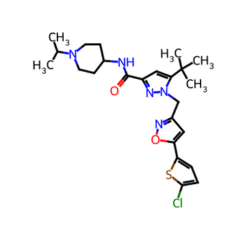 CC(C)N1CCC(NC(=O)c2cc(C(C)(C)C)n(Cc3cc(-c4ccc(Cl)s4)on3)n2)CC1